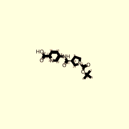 CC(C)(C)OC(=O)N1CC[C@H](C(=O)Nc2ccc(C(=O)O)nc2)C1